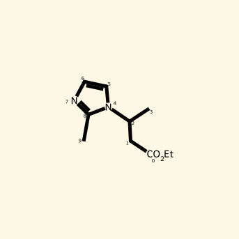 CCOC(=O)CC(C)n1ccnc1C